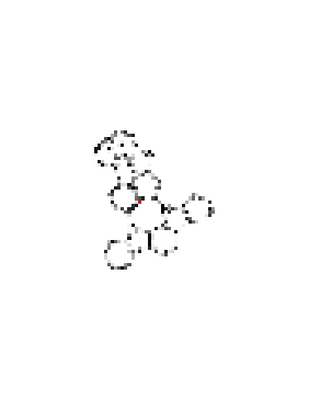 c1ccc(-c2ccc(-n3c4ccccc4c4ccc5c6ccccc6n(-c6ccc7c(c6)sc6ccccc67)c5c43)cc2)cc1